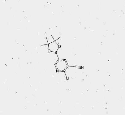 CC1(C)OB(c2cnc(Cl)c(C#N)c2)OC1(C)C